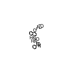 O=C(Nc1ccc(OCCN2CCOCC2)c2ccccc12)Nc1ccnn1-c1ccccc1